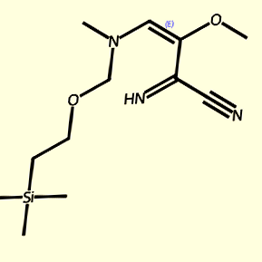 CO/C(=C/N(C)COCC[Si](C)(C)C)C(=N)C#N